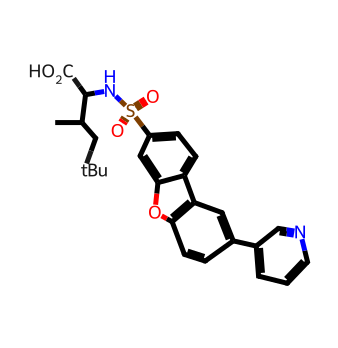 CC(CC(C)(C)C)C(NS(=O)(=O)c1ccc2c(c1)oc1ccc(-c3cccnc3)cc12)C(=O)O